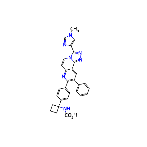 Cn1cnc(-c2nnc3c4cc(-c5ccccc5)c(-c5ccc(C6(NC(=O)O)CCC6)cc5)nc4ccn23)c1